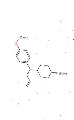 C=CCC(c1ccc(OCCCCC)cc1)[C@H]1CC[C@H](CCCCC)CC1